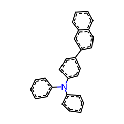 c1ccc(N(c2ccccc2)c2ccc(-c3ccc4ccccc4c3)cc2)cc1